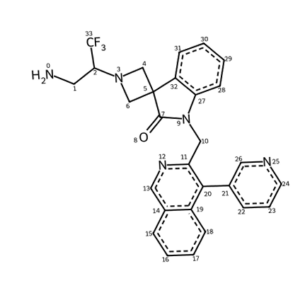 NCC(N1CC2(C1)C(=O)N(Cc1ncc3ccccc3c1-c1cccnc1)c1ccccc12)C(F)(F)F